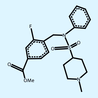 COC(=O)c1ccc(CN(c2ccccc2)S(=O)(=O)C2CCN(C)CC2)c(F)c1